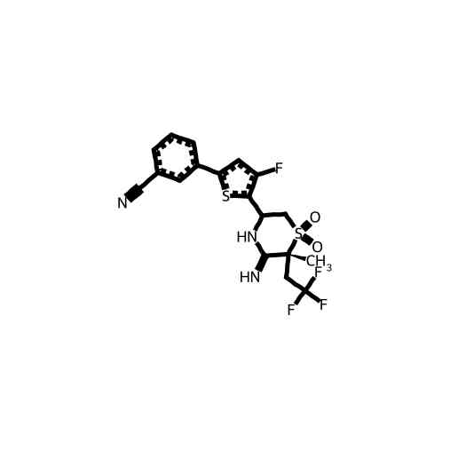 C[C@@]1(CC(F)(F)F)C(=N)NC(c2sc(-c3cccc(C#N)c3)cc2F)CS1(=O)=O